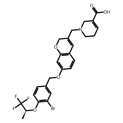 C[C@H](Oc1ccc(COc2ccc3c(c2)OCC(CN2CCC=C(C(=O)O)C2)=C3)cc1Br)C(F)(F)F